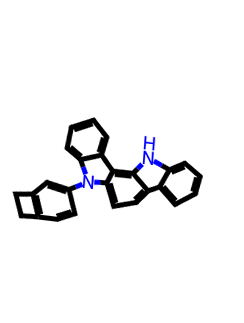 c1ccc2c(c1)[nH]c1c2ccc2c1c1ccccc1n2-c1ccc2c(c1)CC2